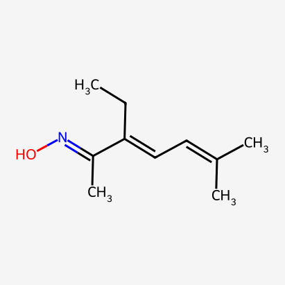 CCC(=C\C=C(C)C)/C(C)=N/O